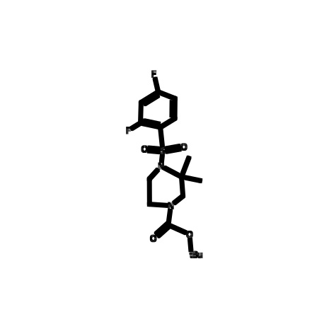 CC(C)(C)OC(=O)N1CCN(S(=O)(=O)c2ccc(F)cc2F)C(C)(C)C1